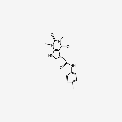 Cc1ccc(NC(=O)CN2CNc3c2c(=O)n(C)c(=O)n3C)cc1